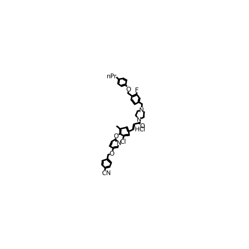 CCCc1ccc(OCc2ccc(CN3CCN(C(=O)C=Cc4cc(C)c(Oc5ccc(OCc6ccc(C#N)cc6)cn5)c(Cl)c4)CC3)cc2F)cc1.Cl